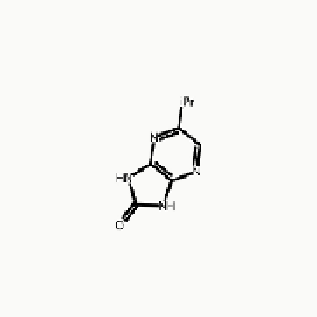 CC(C)c1cnc2[nH]c(=O)[nH]c2n1